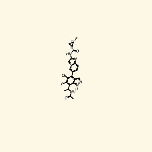 CC(=O)NC(C)c1c(F)c(Cl)c(-c2ccc3nc(NC(=O)[C@@H]4C[C@@H]4F)cn3c2)c2cn[nH]c12